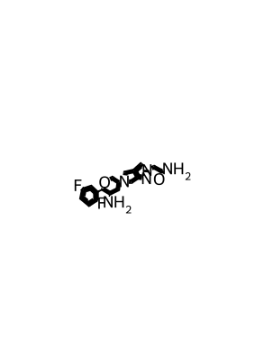 NC(=O)Cn1cc2c(n1)CN(C1CO[C@H](c3cc(F)ccc3F)[C@@H](N)C1)C2